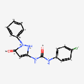 O=C(Nc1ccc(Cl)cc1)Nc1cc(=O)n(-c2ccccc2)[nH]1